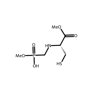 COC(=O)[C@H](CS)NCP(=O)(O)OC